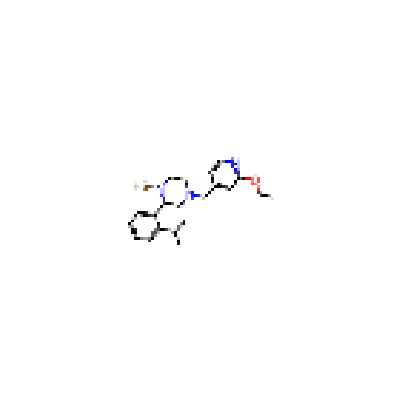 CCOc1cc(CN2CCN(S)C(c3ccccc3C(C)C)C2)ccn1